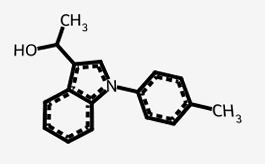 Cc1ccc(-n2cc(C(C)O)c3ccccc32)cc1